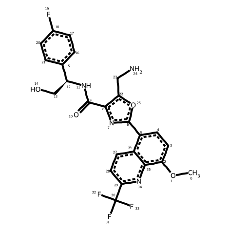 COc1ccc(-c2nc(C(=O)N[C@@H](CO)c3ccc(F)cc3)c(CN)o2)c2ccc(C(F)(F)F)nc12